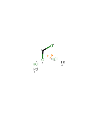 Cl.Cl.ClCCl.P.[Fe].[Pd]